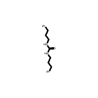 CC(C)CCCNC(=S)NCCCC(C)C